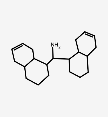 NC(C1CCCC2CC=CCC21)C1CCCC2CC=CCC21